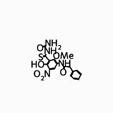 COc1c(NC(=O)Cc2ccccc2)cc([N+](=O)[O-])c(O)c1C(=S)NC(N)=O